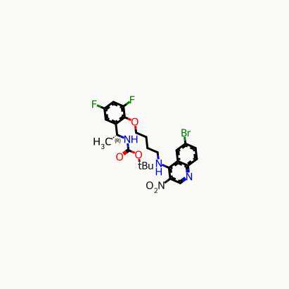 C[C@@H](NC(=O)OC(C)(C)C)c1cc(F)cc(F)c1OCCCCNc1c([N+](=O)[O-])cnc2ccc(Br)cc12